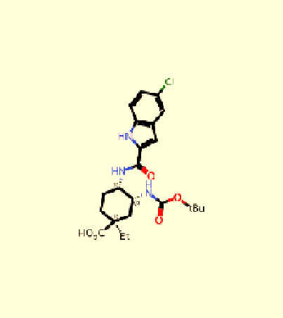 CC[C@]1(C(=O)O)CC[C@H](NC(=O)c2cc3cc(Cl)ccc3[nH]2)[C@H](NC(=O)OC(C)(C)C)C1